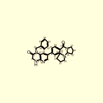 O=C1CNc2ncc(-c3ccc(C(=O)N4CCCC4N4CCCC4)cc3)cc2N1Cc1ccccc1